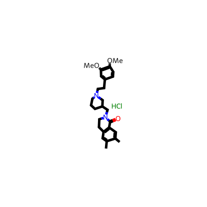 COc1ccc(CCN2CCCC(CN3CCc4cc(C)c(C)cc4C3=O)C2)cc1OC.Cl